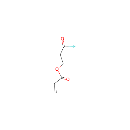 C=CC(=O)OCCC(=O)F